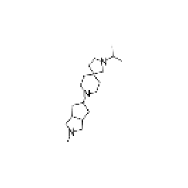 CC(C)N1CCC2(CCN(C3CC4CN(C)CC4C3)CC2)C1